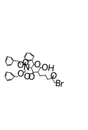 O=C(CBr)CCCC(C(=O)O)C(=O)[C@H](Cc1ccccc1)N(C(=O)OCc1ccccc1)C(=O)OCc1ccccc1